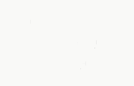 CC1=CC(C)(C)C1